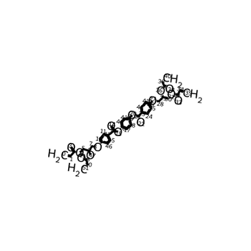 C=CC(=O)OCC(COc1ccc(C(=O)Oc2ccc(OC(=O)c3ccc(OCC(COC(=O)C=C)OC(=O)C=C)cc3)cc2)cc1)OC(=O)C=C